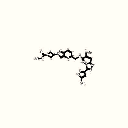 COc1cc2nnc(-c3cc(C)on3)n2nc1OCc1ccc2nn(C3CN(C(=O)OC(C)(C)C)C3)cc2n1